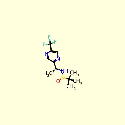 C[C@H](N[S+]([O-])C(C)(C)C)c1cnc(C(F)(F)F)cn1